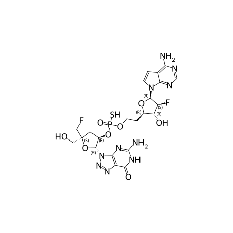 Nc1nc2c(nnn2[C@@H]2O[C@@](CO)(CF)C[C@H]2OP(=O)(S)OCC[C@H]2O[C@@H](n3ccc4c(N)ncnc43)[C@@H](F)[C@@H]2O)c(=O)[nH]1